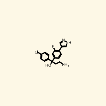 NCCC(O)(c1ccc(Cl)cc1)c1ccc(-c2cn[nH]c2)c(F)c1